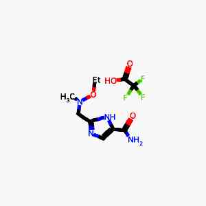 CCON(C)Cc1ncc(C(N)=O)[nH]1.O=C(O)C(F)(F)F